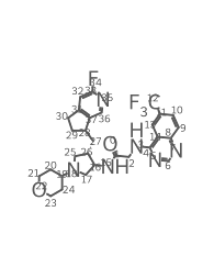 O=C(CNc1ncnc2ccc(C(F)(F)F)cc12)NC1CN(C2CCOCC2)C[C@@H]1CC1CCc2cc(F)ncc21